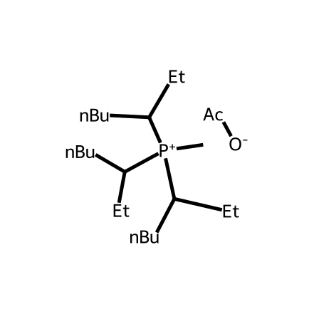 CC(=O)[O-].CCCCC(CC)[P+](C)(C(CC)CCCC)C(CC)CCCC